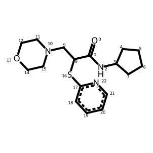 O=C(NC1CCCC1)C(CN1CCOCC1)Sc1ccccn1